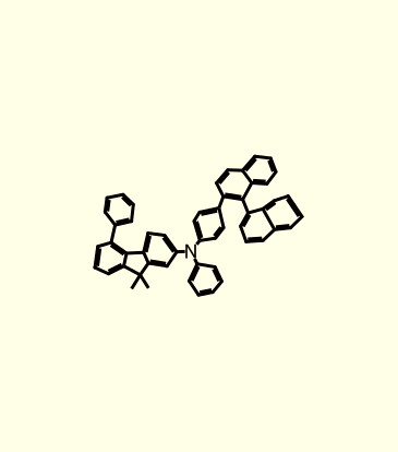 CC1(C)c2cc(N(c3ccccc3)c3ccc(-c4ccc5ccccc5c4-c4cccc5ccccc45)cc3)ccc2-c2c(-c3ccccc3)cccc21